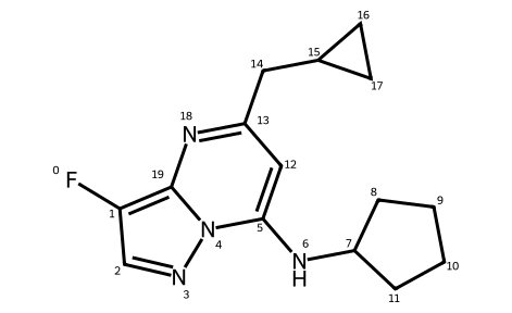 Fc1cnn2c(NC3CCCC3)cc(CC3CC3)nc12